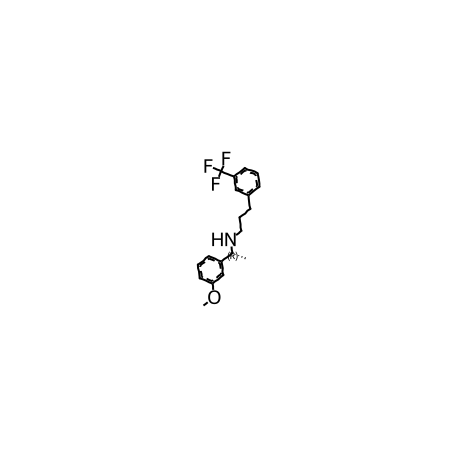 COc1cccc([C@@H](C)NCCCc2cccc(C(F)(F)F)c2)c1